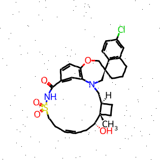 C[C@]12CC[C@@H]1CN1C[C@@]3(CCCc4cc(Cl)ccc43)COc3ccc(cc31)C(=O)NS(=O)(=O)CC/C=C\C[C@H]2O